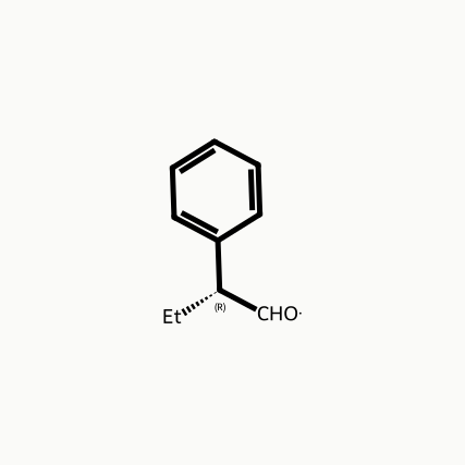 CC[C@@H]([C]=O)c1ccccc1